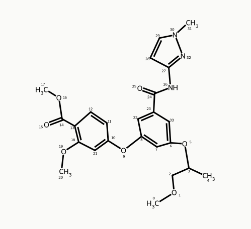 COCC(C)Oc1cc(Oc2ccc(C(=O)OC)c(OC)c2)cc(C(=O)Nc2ccn(C)n2)c1